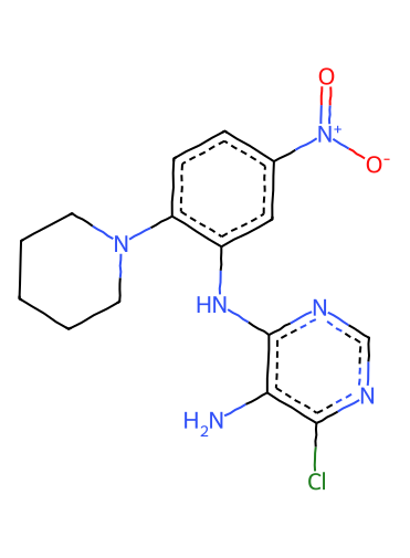 Nc1c(Cl)ncnc1Nc1cc([N+](=O)[O-])ccc1N1CCCCC1